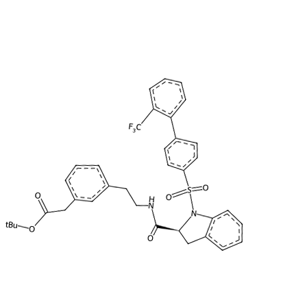 CC(C)(C)OC(=O)Cc1cccc(CCNC(=O)[C@@H]2Cc3ccccc3N2S(=O)(=O)c2ccc(-c3ccccc3C(F)(F)F)cc2)c1